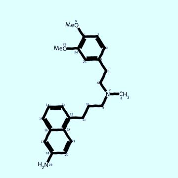 COc1ccc(CCN(C)CCCc2cccc3cc(N)ccc23)cc1OC